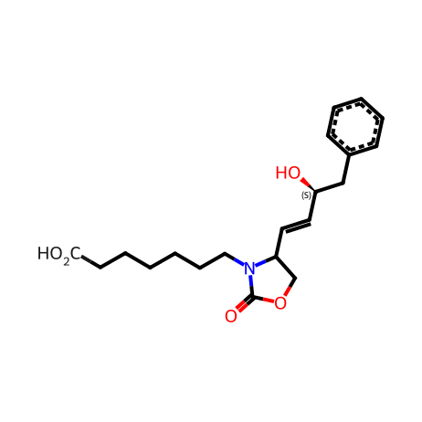 O=C(O)CCCCCCN1C(=O)OCC1C=C[C@@H](O)Cc1ccccc1